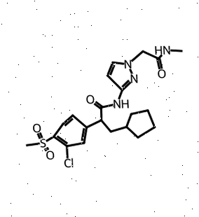 CNC(=O)Cn1ccc(NC(=O)C(CC2CCCC2)c2ccc(S(C)(=O)=O)c(Cl)c2)n1